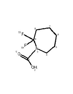 O=C(O)N1CCCCCC1(F)F